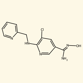 N/C(=N\O)c1cnc(NCc2ccccn2)c(Cl)c1